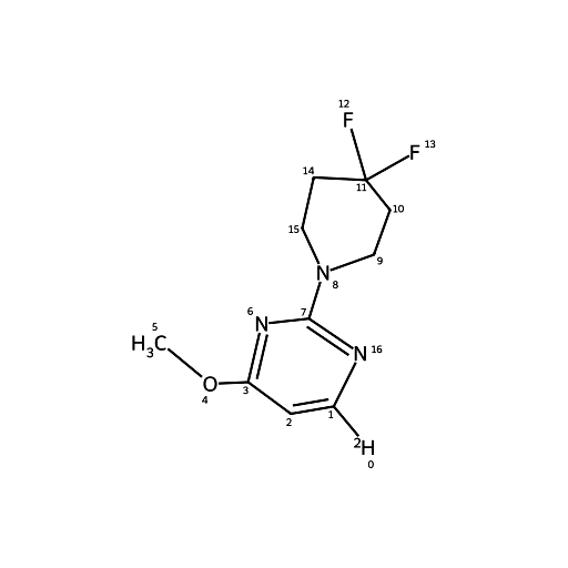 [2H]c1cc(OC)nc(N2CCC(F)(F)CC2)n1